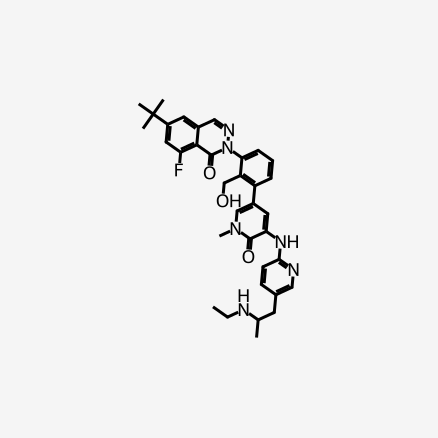 CCNC(C)Cc1ccc(Nc2cc(-c3cccc(-n4ncc5cc(C(C)(C)C)cc(F)c5c4=O)c3CO)cn(C)c2=O)nc1